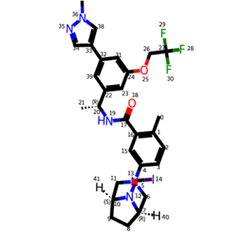 Cc1ccc(N2C[C@H]3CC[C@@H](C2)N3CI)cc1C(=O)N[C@H](C)c1cc(OCC(F)(F)F)cc(-c2cnn(C)c2)c1